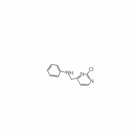 Clc1nccc(CNc2ccccc2)n1